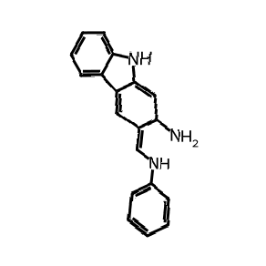 NC1C=c2[nH]c3ccccc3c2=C/C1=C/Nc1ccccc1